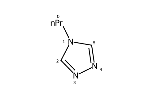 [CH2]CCn1cnnc1